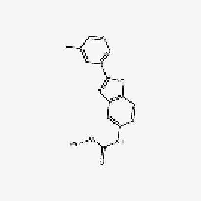 Cc1cncc(-c2nc3cc(NC(=O)OC(C)(C)C)ccc3o2)c1